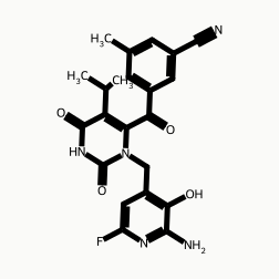 Cc1cc(C#N)cc(C(=O)c2c(C(C)C)c(=O)[nH]c(=O)n2Cc2cc(F)nc(N)c2O)c1